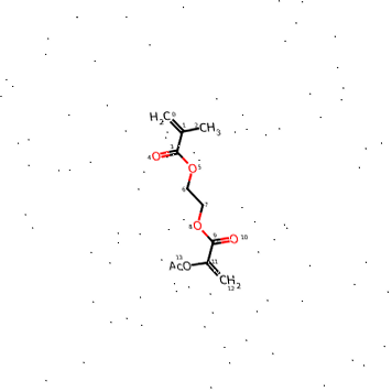 C=C(C)C(=O)OCCOC(=O)C(=C)OC(C)=O